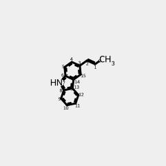 CC=Cc1ccc2[nH]c3ccccc3c2c1